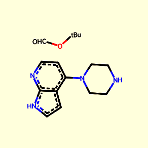 CC(C)(C)OC=O.c1cc(N2CCNCC2)c2cc[nH]c2n1